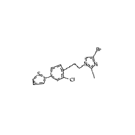 Cc1nc(Br)cn1CCc1ccc(-c2cccs2)cc1Cl